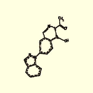 CC(=O)N1N=Cc2cc(-n3ncc4ccccc43)ccc2B1O